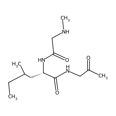 CCC(C)C[C@H](NC(=O)CNC)C(=O)NCC(C)=O